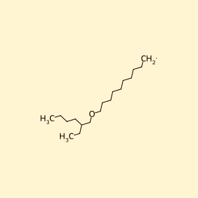 [CH2]CCCCCCCCCOCC(CC)CCCC